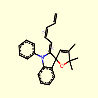 C=C/C=C\C=C1/N(c2ccccc2)c2ccccc2C12C=C(C)C(C)(C)O2